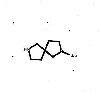 CC(C)(C)N1CCC2(CCNC2)C1